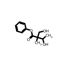 CC(O)C(C)(CO)C(=O)Oc1ccccc1